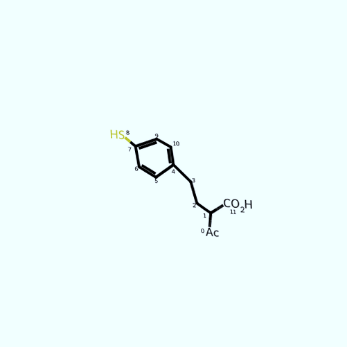 CC(=O)C(CCc1ccc(S)cc1)C(=O)O